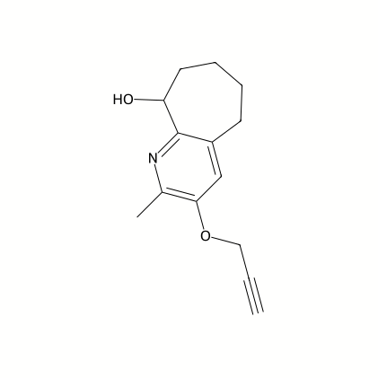 C#CCOc1cc2c(nc1C)C(O)CCCC2